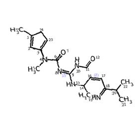 CC1=CC(N(C)C(=O)/N=C(\NC=O)NC(C)/C=C\C(=N)C(C)C)=CC1